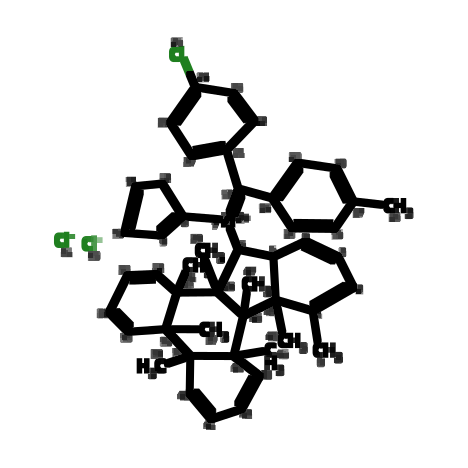 CC1=CC=CC2[CH](/[Zr+2]([C]3=CC=CC3)=[C](\c3ccc(C)cc3)c3ccc(Cl)cc3)C3(C)C4(C)C=CC=CC4(C)C4(C)C=CC=CC4(C)C3(C)C12C.[Cl-].[Cl-]